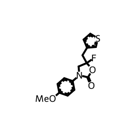 COc1ccc(N2CC(F)(Cc3ccsc3)OC2=O)cc1